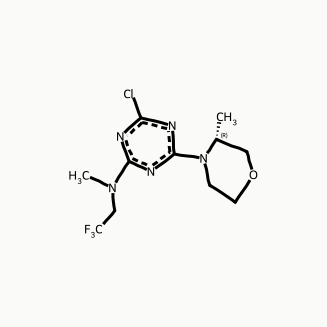 C[C@@H]1COCCN1c1nc(Cl)nc(N(C)CC(F)(F)F)n1